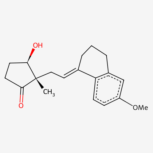 COc1ccc2c(c1)CCCC2=CC[C@]1(C)C(=O)CC[C@H]1O